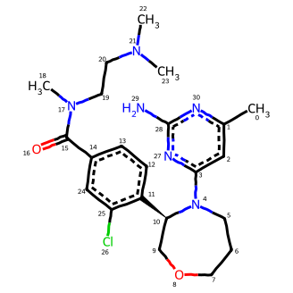 Cc1cc(N2CCCOC[C@H]2c2ccc(C(=O)N(C)CCN(C)C)cc2Cl)nc(N)n1